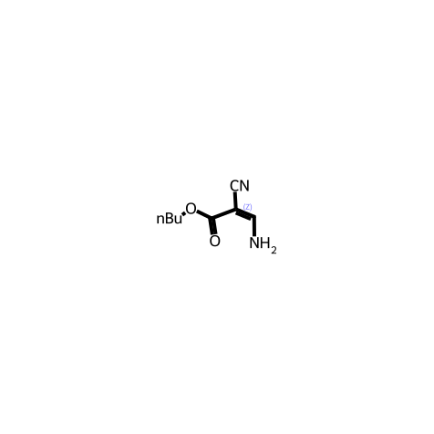 CCCCOC(=O)/C(C#N)=C\N